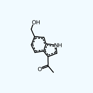 CC(=O)c1c[nH]c2cc(CO)ccc12